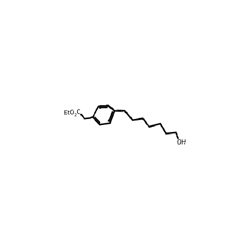 CCOC(=O)Cc1ccc(CCCCCCCO)cc1